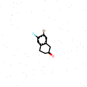 O=C1CCc2cc(F)c(Br)cc2C1